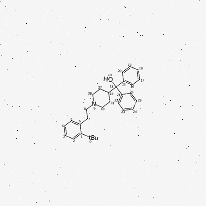 CC(C)(C)c1ccccc1CCN1CCC(C(O)(c2ccccc2)c2ccccc2)CC1